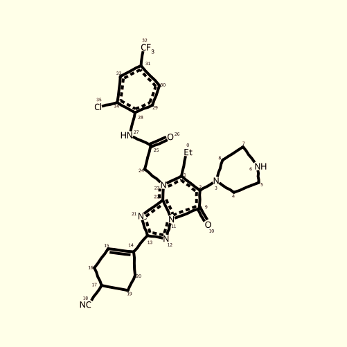 CCc1c(N2CCNCC2)c(=O)n2nc(C3=CCC(C#N)CC3)nc2n1CC(=O)Nc1ccc(C(F)(F)F)cc1Cl